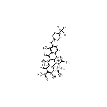 CC(=O)O[C@H]1[C@H]2C(=C(O)[C@]3(O)C(=O)C(C(C)=O)=C(O)[C@@H](N(C)C)[C@H]13)C(=O)c1c(ccc(CN3CCC(C(F)(F)F)CC3)c1O)[C@@H]2C